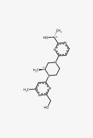 Cc1cc(N2CCN(c3ccnc([C@@H](C)O)n3)C[C@@H]2C)nc(CO)n1